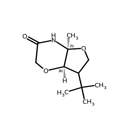 CC(C)(C)C1CO[C@]2(C)NC(=O)CO[C@H]12